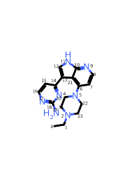 CCN1CCN(c2ccnc3[nH]cc(-c4ccnc(N)n4)c23)CC1